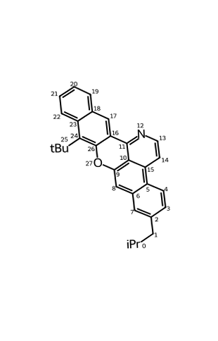 CC(C)Cc1ccc2c(c1)cc1c3c(nccc32)-c2cc3ccccc3c(C(C)(C)C)c2O1